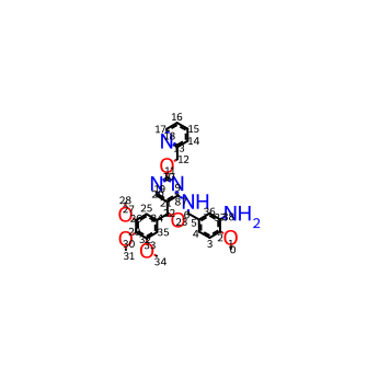 COc1ccc(CNc2nc(OCc3ccccn3)ncc2C(=O)c2cc(OC)c(OC)c(OC)c2)cc1N